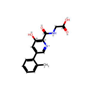 Cc1ccccc1-c1cnc(C(=O)NCC(=O)O)c(O)c1